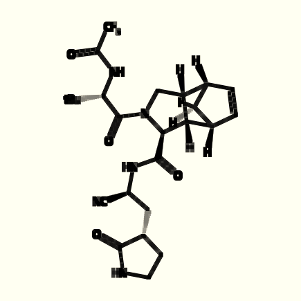 CC(C)(C)[C@H](NC(=O)C(F)(F)F)C(=O)N1C[C@@H]2[C@@H]3C=C[C@@H]([C@H]3F)[C@@H]2[C@H]1C(=O)N[C@H](C#N)C[C@@H]1CCNC1=O